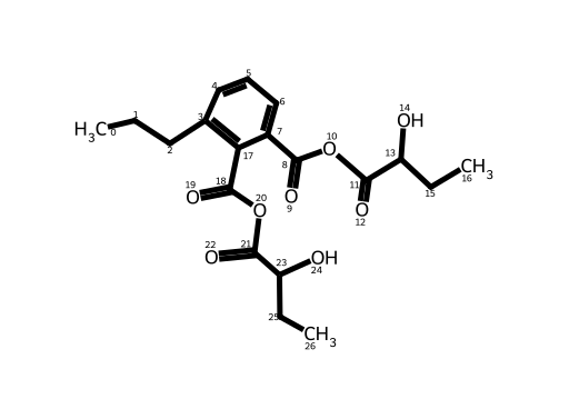 CCCc1cccc(C(=O)OC(=O)C(O)CC)c1C(=O)OC(=O)C(O)CC